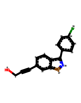 OCC#Cc1ccc2c(-c3ccc(Br)cc3)nsc2c1